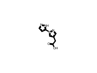 O=C(O)Cc1cnn(-c2ccn[nH]2)c1